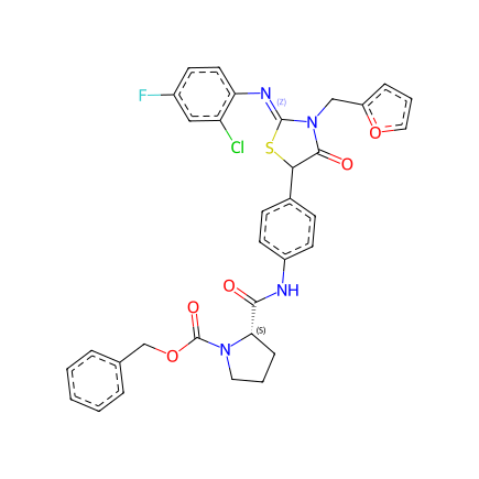 O=C(Nc1ccc(C2S/C(=N\c3ccc(F)cc3Cl)N(Cc3ccco3)C2=O)cc1)[C@@H]1CCCN1C(=O)OCc1ccccc1